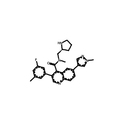 Cc1cc(F)cc(-c2cnc3ccc(-c4cnn(C)c4)cc3c2C(=O)N(C)C[C@@H]2CCCN2)c1